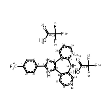 FC(F)(F)c1ccc(-c2nc3c([nH]2)-c2ccncc2Nc2ncccc2-3)cc1.O=C(O)C(F)(F)F.O=C(O)C(F)(F)F